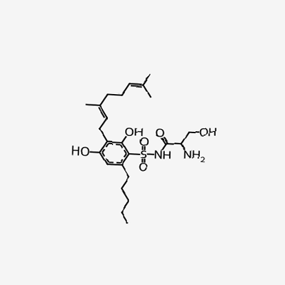 CCCCCc1cc(O)c(C/C=C(\C)CCC=C(C)C)c(O)c1S(=O)(=O)NC(=O)C(N)CO